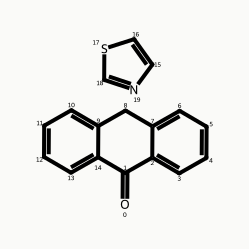 O=C1c2ccccc2Cc2ccccc21.c1cscn1